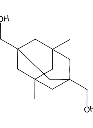 CC12CC3(C)CC(CO)(C1)CC(CO)(C2)C3